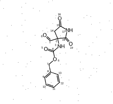 O=CC1(NC(=O)OCc2ccccc2)CC(=O)NC1=O